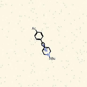 CCCCN1CC2CN(c3ccc(C(C)=O)cc3)CC(C1)C21CCCC1